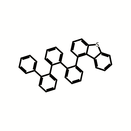 c1ccc(-c2ccccc2-c2ccccc2-c2ccccc2-c2cccc3sc4ccccc4c23)cc1